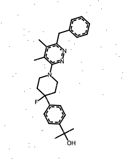 Cc1c(Cc2ccccc2)nnc(N2CCC(F)(c3ccc(C(C)(C)O)cc3)CC2)c1C